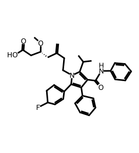 C=C(CCn1c(C2=CCC(F)C=C2)c(-c2ccccc2)c(C(=O)Nc2ccccc2)c1C(C)C)C[C@H](CC(=O)O)OC